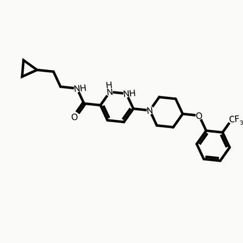 O=C(NCCC1CC1)C1=CC=C(N2CCC(Oc3ccccc3C(F)(F)F)CC2)NN1